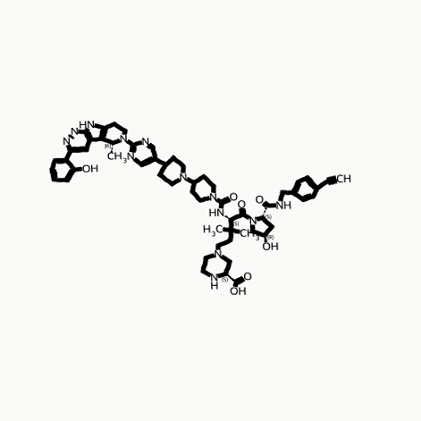 C#Cc1ccc(CNC(=O)[C@@H]2C[C@@H](O)CN2C(=O)[C@@H](NC(=O)N2CCC(N3CCC(c4cnc(N5CCc6[nH]c7nnc(-c8ccccc8O)cc7c6[C@H]5C)nc4)CC3)CC2)C(C)(C)CCN2CCN[C@H](C(=O)O)C2)cc1